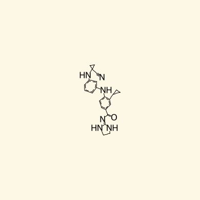 N#CC1(Nc2cccc(Nc3ccc(C(=O)N=C4NCCN4)cc3C3CC3)c2)CC1